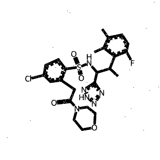 Cc1ccc(F)c(C(C)C(NS(=O)(=O)c2ccc(Cl)cc2CC(=O)N2CCOCC2)c2nn[nH]n2)c1C